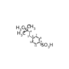 C[Si](C)(C)CCc1ccc(S(=O)(=O)O)cc1